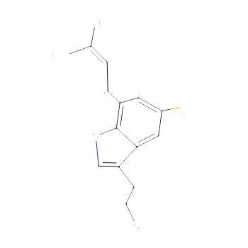 CC(C)=CCc1cc(P)cc2c(CCN)c[nH]c12